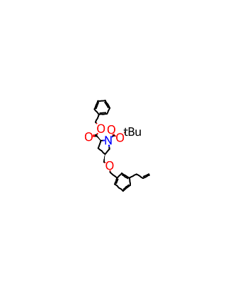 C=CCc1cccc(COC[C@H]2C[C@@H](C(=O)OCc3ccccc3)N(C(=O)OC(C)(C)C)C2)c1